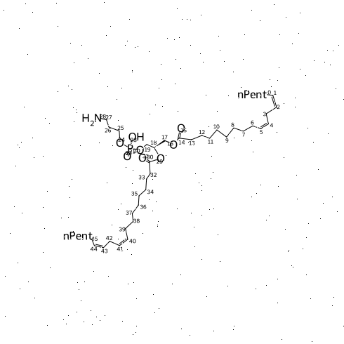 CCCCC/C=C\C/C=C\CCCCCCCCC(=O)OC[C@H](COP(=O)(O)OCCCN)OC(=O)CCCCCCCC/C=C\C/C=C\CCCCC